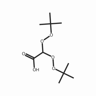 CC(C)(C)OOC(OOC(C)(C)C)C(=O)O